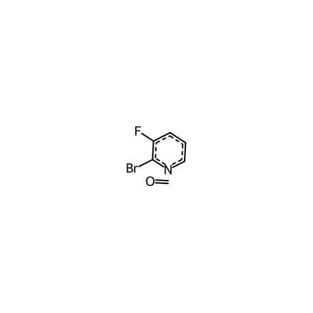 C=O.Fc1cccnc1Br